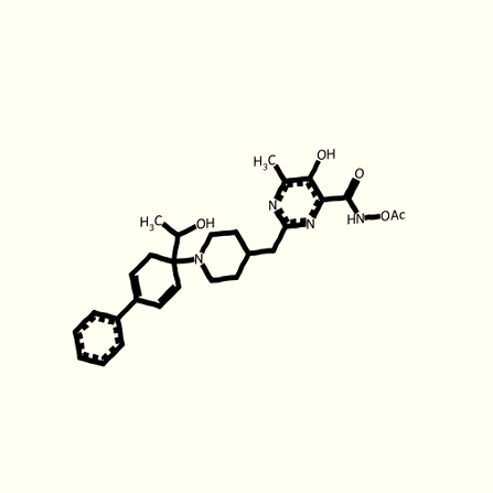 CC(=O)ONC(=O)c1nc(CC2CCN(C3(C(C)O)C=CC(c4ccccc4)=CC3)CC2)nc(C)c1O